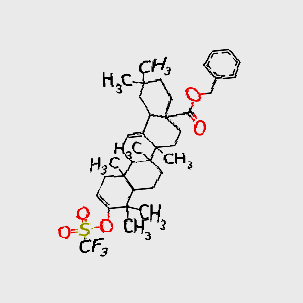 CC1(C)CCC2(C(=O)OCc3ccccc3)CCC3(C)C(=CCC4C5(C)CC=C(OS(=O)(=O)C(F)(F)F)C(C)(C)C5CCC43C)C2C1